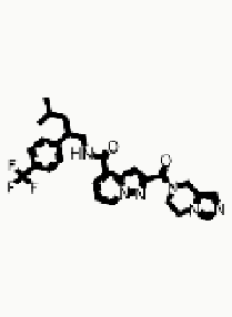 CC(C)CC(CNC(=O)c1cccn2nc(C(=O)N3CCn4cncc4C3)cc12)c1ccc(C(F)(F)F)cc1